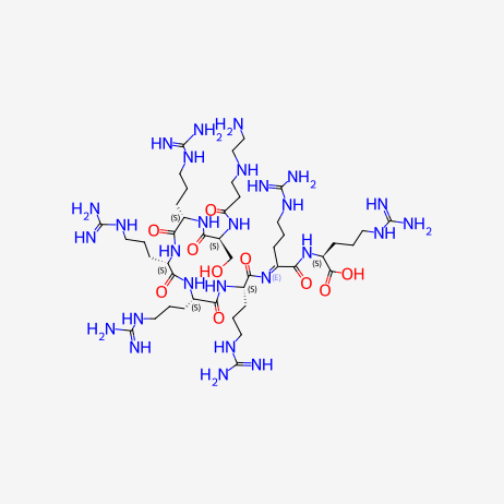 N=C(N)NCCC/C(=N\C(=O)[C@H](CCCNC(=N)N)NC(=O)[C@H](CCCNC(=N)N)NC(=O)[C@H](CCCNC(=N)N)NC(=O)[C@H](CCCNC(=N)N)NC(=O)[C@H](CO)NC(=O)CCNCCN)C(=O)N[C@@H](CCCNC(=N)N)C(=O)O